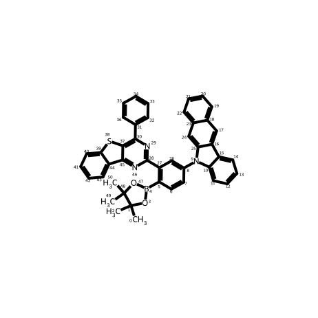 CC1(C)OB(c2ccc(-n3c4ccccc4c4cc5ccccc5cc43)cc2-c2nc(-c3ccccc3)c3sc4ccccc4c3n2)OC1(C)C